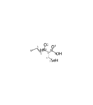 CC=C[NH+]([O-])[C@@H](C[SeH])C(=O)O